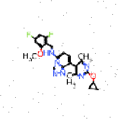 COc1cc(F)cc(F)c1CNc1ccc(-c2c(C)nc(OC3CC3)nc2C)c2nncn12